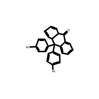 CC(=O)c1ccc(C2(c3ccc(C(C)=O)cc3)c3ccccc3C(=O)C3C=CC=CC32)cc1